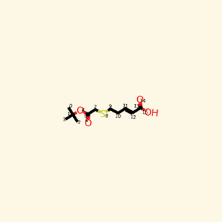 CC(C)(C)OC(=O)CSCCC=CC(=O)O